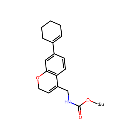 CC(C)(C)OC(=O)NCC1=CCOc2cc(C3=CCCCC3)ccc21